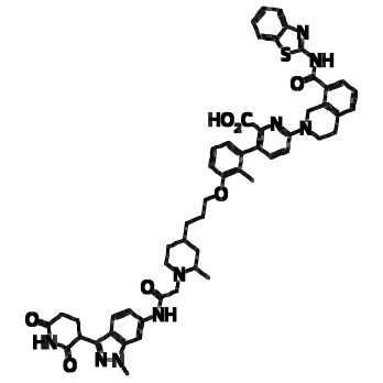 Cc1c(OCCCC2CCN(CC(=O)Nc3ccc4c(C5CCC(=O)NC5=O)nn(C)c4c3)C(C)C2)cccc1-c1ccc(N2CCc3cccc(C(=O)Nc4nc5ccccc5s4)c3C2)nc1C(=O)O